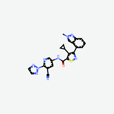 Cn1cc2c(-c3nsc(C(=O)Nc4cnc(-n5nccn5)c(C#N)c4)c3C3CC3)cccc2n1